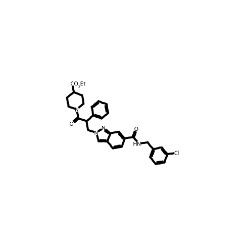 CCOC(=O)C1CCN(C(=O)C(Cn2cc3ccc(C(=O)NCc4cccc(Cl)c4)cc3n2)c2ccccc2)CC1